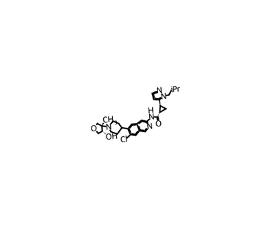 CC(C)Cn1nccc1[C@H]1C[C@@H]1C(=O)Nc1cc2cc(C3CCN([C@@]4(C)COC[C@H]4O)CC3)c(Cl)cc2cn1